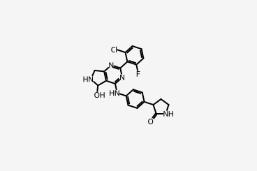 O=C1NCCC1c1ccc(Nc2nc(-c3c(F)cccc3Cl)nc3c2C(O)NC3)cc1